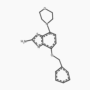 Nc1nc2c(OCc3ccccc3)ccc(N3CCOCC3)c2s1